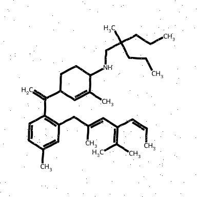 C=C(c1ccc(C)cc1C/C(C)=C/C(/C=C\C)=C(C)C)C1C=C(C)C(NCC(C)(CCC)CCC)CC1